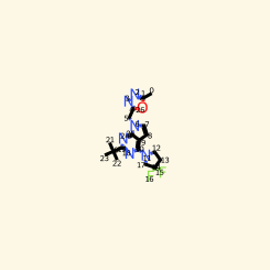 Cc1nnc(Cn2ccc3c(N4CCC(F)(F)C4)nc(C(C)(C)C)nc32)o1